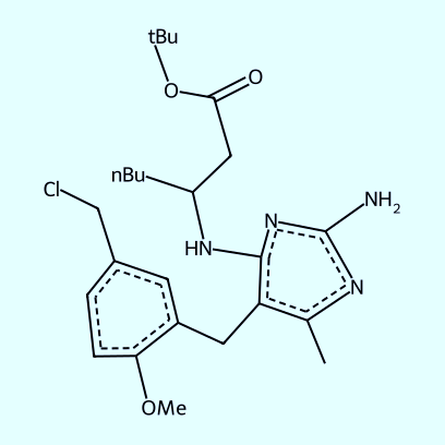 CCCCC(CC(=O)OC(C)(C)C)Nc1nc(N)nc(C)c1Cc1cc(CCl)ccc1OC